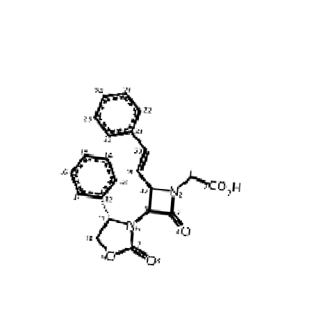 O=C(O)CN1C(=O)C(N2C(=O)OC[C@@H]2c2ccccc2)C1C=Cc1ccccc1